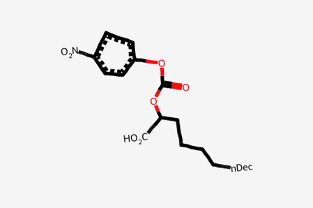 CCCCCCCCCCCCCCC(OC(=O)Oc1ccc([N+](=O)[O-])cc1)C(=O)O